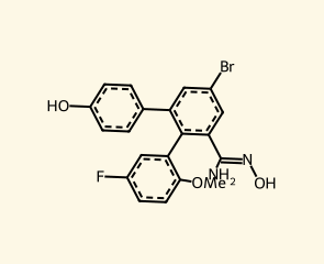 COc1ccc(F)cc1-c1c(C(N)=NO)cc(Br)cc1-c1ccc(O)cc1